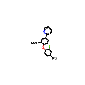 COc1cc(-c2ccccn2)ccc1Oc1ccc(N=O)cc1F